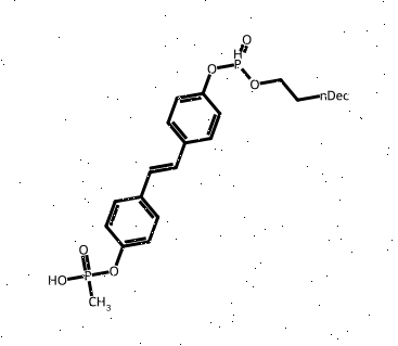 CCCCCCCCCCCCO[PH](=O)Oc1ccc(/C=C/c2ccc(OP(C)(=O)O)cc2)cc1